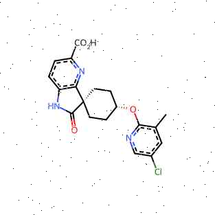 Cc1cc(Cl)cnc1O[C@H]1CC[C@]2(CC1)C(=O)Nc1ccc(C(=O)O)nc12